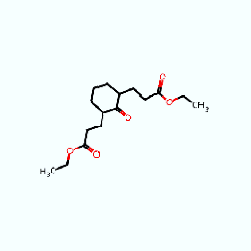 CCOC(=O)CCC1CCCC(CCC(=O)OCC)C1=O